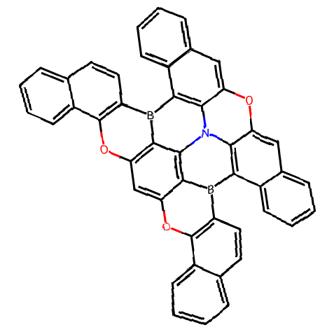 c1ccc2c3c(ccc2c1)B1c2c(cc4c5c2N2c6c(cc7ccccc7c61)Oc1cc6ccccc6c(c12)B5c1ccc2ccccc2c1O4)O3